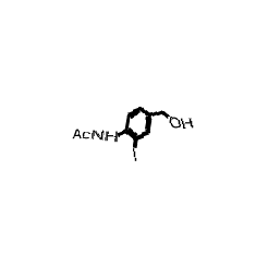 CC(=O)Nc1ccc(CO)cc1I